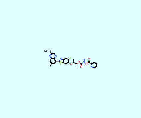 COc1cnc2c(-c3nc4cc(F)c(O[C@@H](C)[C@@H](C)OC(=O)NOC(=O)c5ccccn5)cc4s3)cc(C)cc2n1